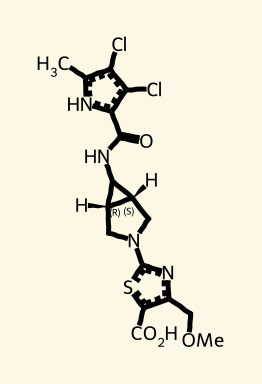 COCc1nc(N2C[C@@H]3C(NC(=O)c4[nH]c(C)c(Cl)c4Cl)[C@@H]3C2)sc1C(=O)O